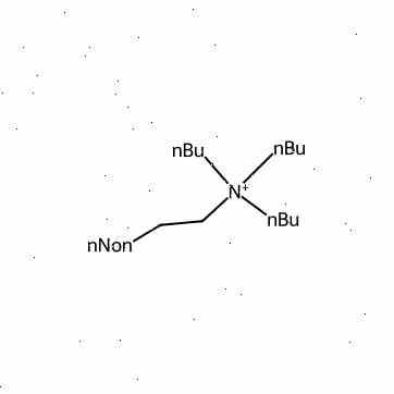 CCCCCCCCCCC[N+](CCCC)(CCCC)CCCC